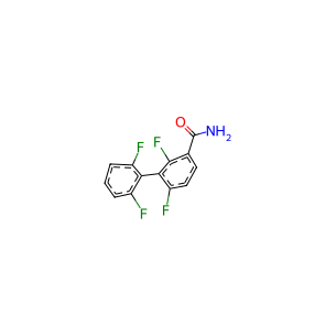 NC(=O)c1ccc(F)c(-c2c(F)cccc2F)c1F